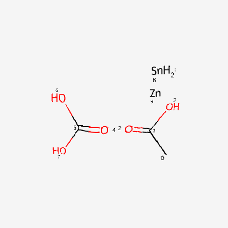 CC(=O)O.O=C(O)O.[SnH2].[Zn]